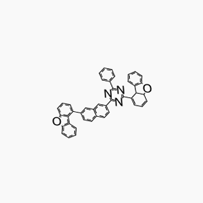 C1=CC2Oc3ccccc3C2C(c2nc(-c3ccccc3)nc(-c3ccc4ccc(-c5cccc6oc7ccccc7c56)cc4c3)n2)=C1